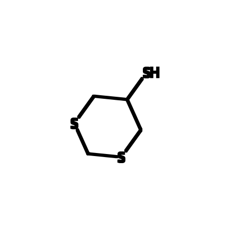 SC1CSCSC1